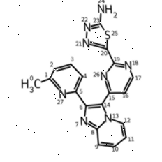 Cc1cccc(-c2nc3ccccn3c2-c2ccnc(-c3nnc(N)s3)n2)n1